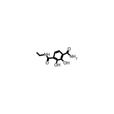 CCNC(=O)c1ccc(C(N)=O)c(O)c1O